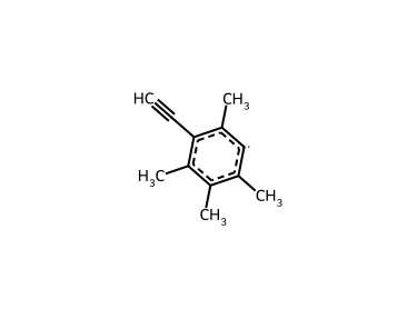 C#Cc1c(C)[c]c(C)c(C)c1C